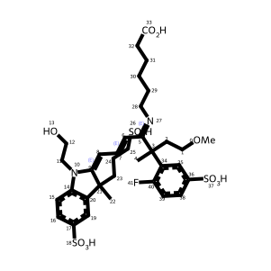 COCCC(C)(C(/C=C/C=C1/N(CCO)c2ccc(S(=O)(=O)O)cc2C1(C)CCCS(=O)(=O)O)=N/CCCCCC(=O)O)c1cc(S(=O)(=O)O)ccc1F